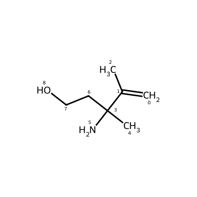 C=C(C)C(C)(N)CCO